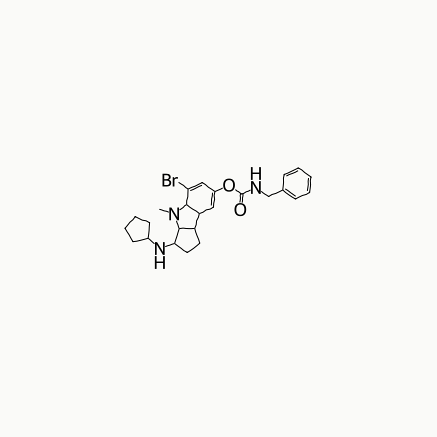 CN1C2C(Br)=CC(OC(=O)NCc3ccccc3)=CC2C2CCC(NC3CCCC3)C21